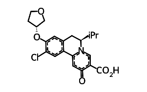 CC(C)[C@@H]1Cc2cc(O[C@@H]3CCOC3)c(Cl)cc2-c2cc(=O)c(C(=O)O)cn21